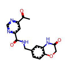 CC(=O)c1cc(C(=O)NCc2ccc3c(c2)NC(=O)CO3)ncn1